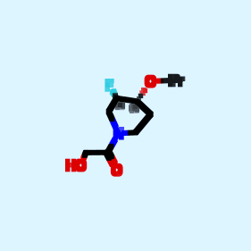 CC(C)O[C@@H]1CCN(C(=O)CO)C[C@H]1F